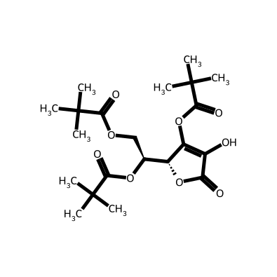 CC(C)(C)C(=O)OC[C@H](OC(=O)C(C)(C)C)[C@H]1OC(=O)C(O)=C1OC(=O)C(C)(C)C